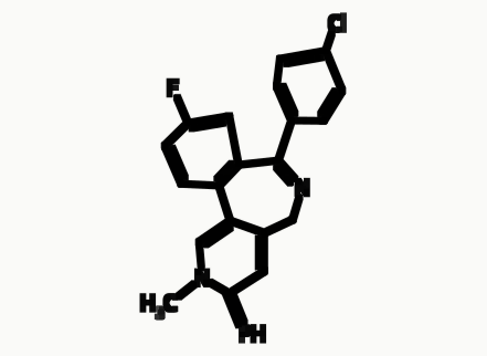 Cn1cc2c(cc1=P)CN=C(c1ccc(Cl)cc1)c1cc(F)ccc1-2